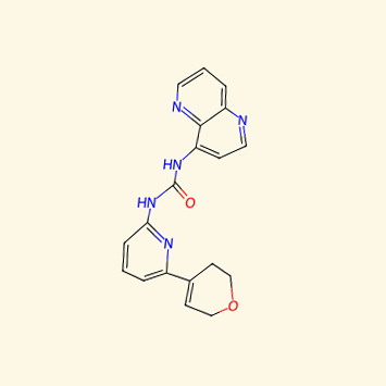 O=C(Nc1cccc(C2=CCOCC2)n1)Nc1ccnc2cccnc12